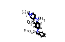 CCOC(=O)c1cc2ccccc2n1-c1ccc(N(C)C2CCN(C)CC2)c([N+](=O)[O-])c1